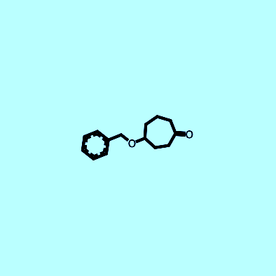 O=C1CCCC(OCc2ccccc2)CC1